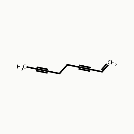 C=CC#CCCC#CC